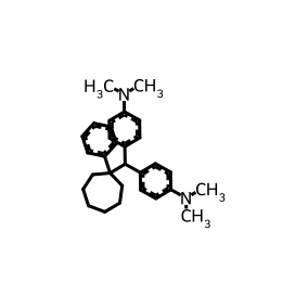 CN(C)c1ccc(C(c2ccc(N(C)C)cc2)C2(c3ccccc3)CCCCCC2)cc1